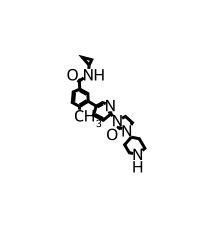 Cc1ccc(C(=O)NC2CC2)cc1-c1ccc(N2CCN(C3CCNCC3)C2=O)nc1